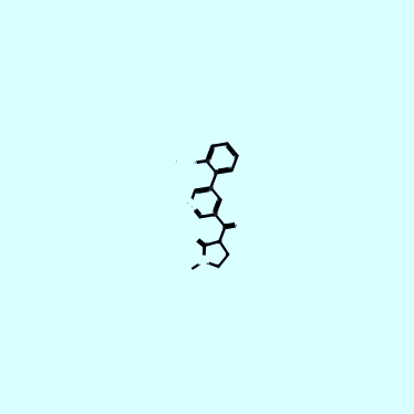 COc1ccccc1-c1cncc(C(=O)C2CCN(C)C2=O)c1